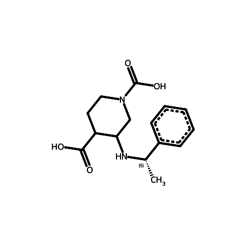 C[C@H](NC1CN(C(=O)O)CCC1C(=O)O)c1ccccc1